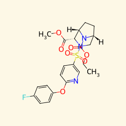 CCOC(=O)N1[C@@H]2CC[C@H]1[C@@H](C(=O)OC)N(S(=O)(=O)c1ccc(Oc3ccc(F)cc3)nc1)C2